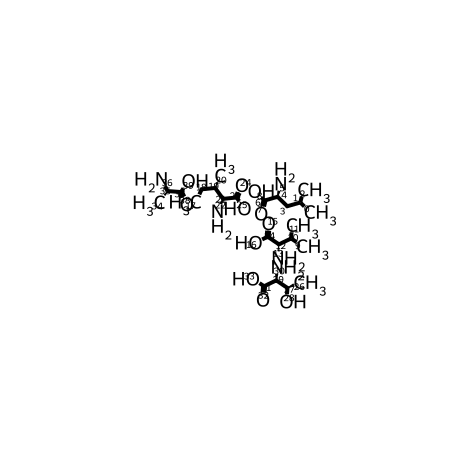 CC(C)C[C@H](N)C(=O)O.CC(C)[C@H](N)C(=O)O.CC[C@H](C)[C@H](N)C(=O)O.C[C@@H](O)[C@H](N)C(=O)O.C[C@H](N)C(=O)O